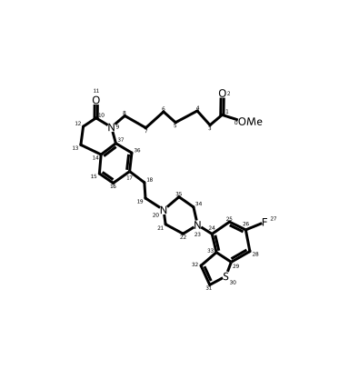 COC(=O)CCCCCCN1C(=O)CCc2ccc(CCN3CCN(c4cc(F)cc5sccc45)CC3)cc21